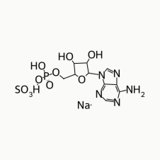 Nc1ncnc2c1ncn2C1OC(COP(=O)(O)OS(=O)(=O)O)C(O)C1O.[Na]